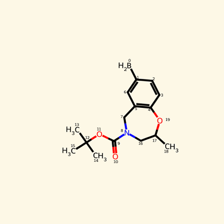 Bc1ccc2c(c1)CN(C(=O)OC(C)(C)C)CC(C)O2